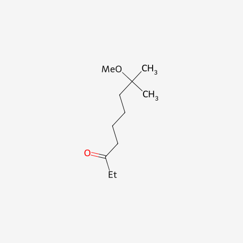 CCC(=O)CCCCC(C)(C)OC